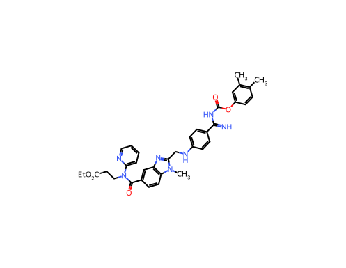 CCOC(=O)CCN(C(=O)c1ccc2c(c1)nc(CNc1ccc(C(=N)NC(=O)Oc3ccc(C)c(C)c3)cc1)n2C)c1ccccn1